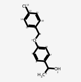 CC(O)c1ccc(OCc2ccc(Cl)cc2)cc1